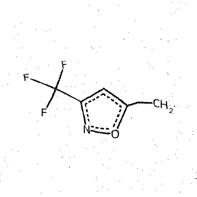 [CH2]c1cc(C(F)(F)F)no1